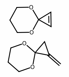 C1=CC12OCCCO2.C=C1CC12OCCCO2